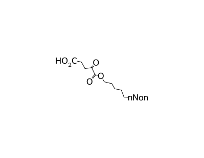 CCCCCCCCCCCCCCOC(=O)C(=O)CCC(=O)O